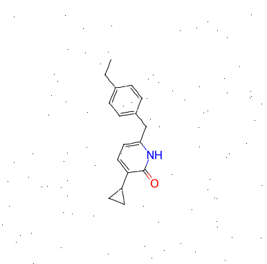 CCc1ccc(Cc2ccc(C3CC3)c(=O)[nH]2)cc1